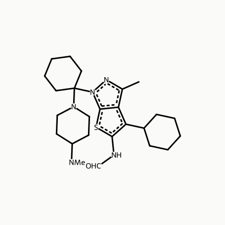 CNC1CCN(C2(n3nc(C)c4c(C5CCCCC5)c(NC=O)sc43)CCCCC2)CC1